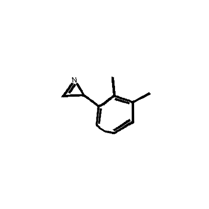 Cc1cccc(C2C=N2)c1C